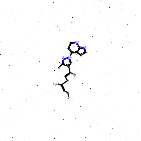 CC/C(=C\C/C(=C\CC(F)(F)F)C(F)(F)F)c1cn(-c2ccnc3[nH]ccc23)nc1C